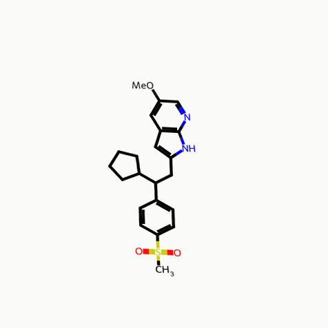 COc1cnc2[nH]c(CC(c3ccc(S(C)(=O)=O)cc3)C3CCCC3)cc2c1